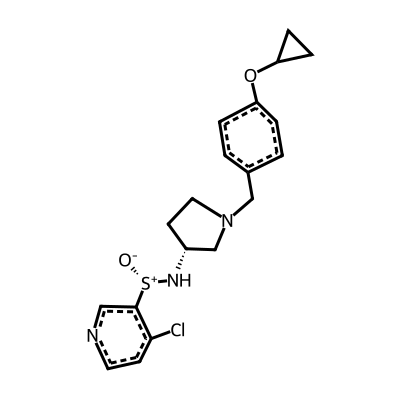 [O-][S@+](N[C@@H]1CCN(Cc2ccc(OC3CC3)cc2)C1)c1cnccc1Cl